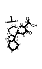 CC(C)(C)[C@H]1Cn2nc3ccccc3c2-c2cc(=O)c(C(=O)O)cn21